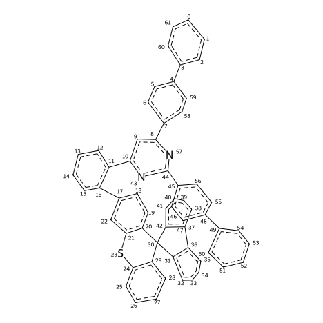 c1ccc(-c2ccc(-c3cc(-c4ccccc4-c4ccc5c(c4)Sc4ccccc4C54c5ccccc5-c5ccccc54)nc(-c4ccc(-c5ccccc5)cc4)n3)cc2)cc1